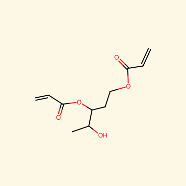 C=CC(=O)OCCC(OC(=O)C=C)C(C)O